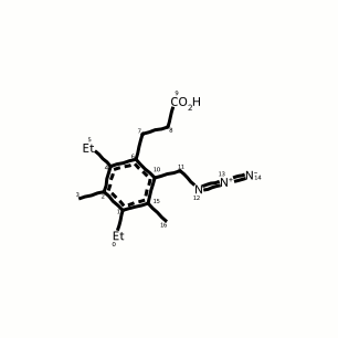 CCc1c(C)c(CC)c(CCC(=O)O)c(CN=[N+]=[N-])c1C